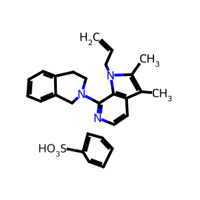 C=CCn1c(C)c(C)c2ccnc(N3CCc4ccccc4C3)c21.O=S(=O)(O)c1ccccc1